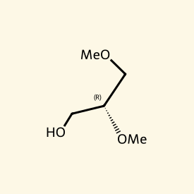 COC[C@@H](CO)OC